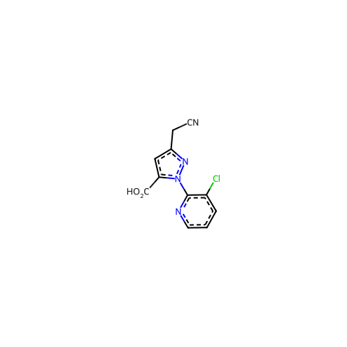 N#CCc1cc(C(=O)O)n(-c2ncccc2Cl)n1